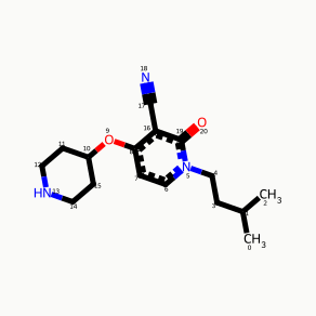 CC(C)CCn1ccc(OC2CCNCC2)c(C#N)c1=O